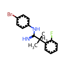 CC(C)(C(=N)Nc1ccc(Br)cc1)c1ccccc1F